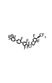 CCCCSc1ccc(-c2ccc(-c3cc(F)c(C(F)(F)Oc4ccc5c(F)c(C#CC(F)(F)F)c(F)cc5c4)c(F)c3)c(F)c2)cc1